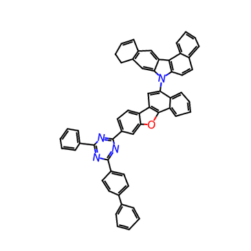 C1=Cc2cc3c4c5ccccc5ccc4n(-c4cc5c6ccc(-c7nc(-c8ccccc8)nc(-c8ccc(-c9ccccc9)cc8)n7)cc6oc5c5ccccc45)c3cc2CC1